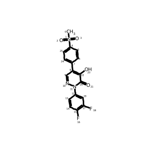 CS(=O)(=O)c1ccc(-c2cnn(-c3ccc(F)c(F)c3)c(=O)c2O)cc1